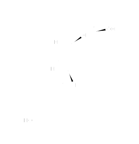 C[C@]12CC[C@H]3[C@@H](CC=C4C[C@@H](O)CC[C@@H]43)[C@@H]1CC[C@H]2O